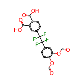 O=COc1ccc(C(F)(F)C(F)(F)c2ccc(C(=O)O)c(C(=O)O)c2)cc1OC=O